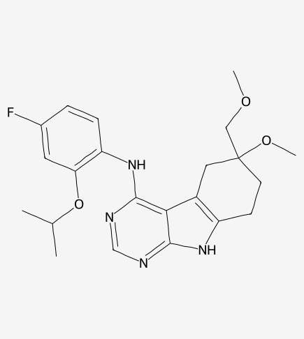 COCC1(OC)CCc2[nH]c3ncnc(Nc4ccc(F)cc4OC(C)C)c3c2C1